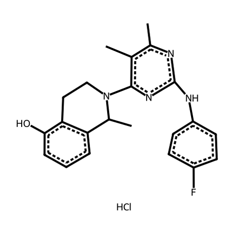 Cc1nc(Nc2ccc(F)cc2)nc(N2CCc3c(O)cccc3C2C)c1C.Cl